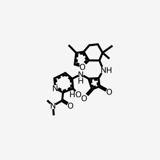 Cc1coc2c1CCC(C)(C)C2Nc1c(Nc2ccnc(C(=O)N(C)C)c2O)c(=O)c1=O